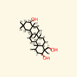 CC1CC(O)C(C)(CO)C2CCC3(C)C(CC=C4C5CC(C)(C)CC(O)C5(C)CCC43C)C12C